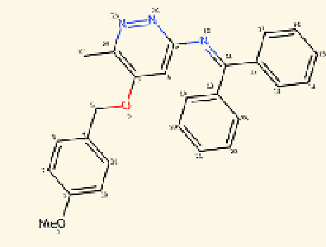 COc1ccc(COc2cc(N=C(c3ccccc3)c3ccccc3)nnc2C)cc1